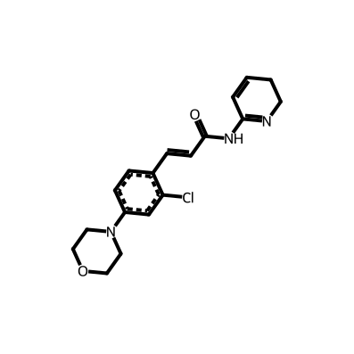 O=C(/C=C/c1ccc(N2CCOCC2)cc1Cl)NC1=NCCC=C1